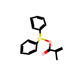 C=C(C)C(=O)O[SH](c1ccccc1)c1ccccc1